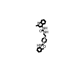 Cc1cc(NC(=O)NCCN2CCN(C(=O)Nc3ccccc3C)CC2)c2ccccc2n1